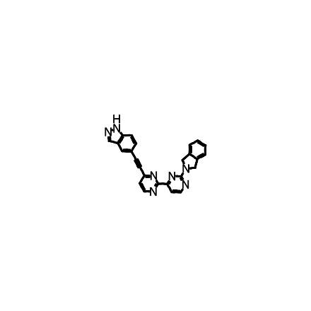 C(#Cc1ccnc(-c2ccnc(N3Cc4ccccc4C3)n2)n1)c1ccc2[nH]ncc2c1